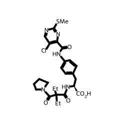 CCC(CC)(C(=O)N[C@@H](Cc1ccc(NC(=O)c2nc(SC)ncc2Cl)cc1)C(=O)O)C(=O)N1CCCC1